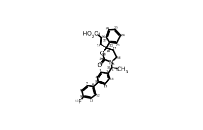 C[C@@H](c1ccc(-c2ccc(F)cc2)cc1)N1CC[C@@](CCC(=O)O)(c2ccccc2)OC1=O